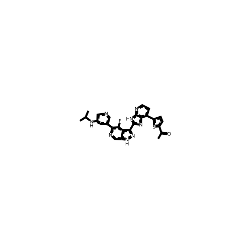 CC(=O)c1ccc(-c2ccnc3[nH]c(-c4n[nH]c5cnc(-c6cncc(NC(C)C)c6)c(F)c45)nc23)s1